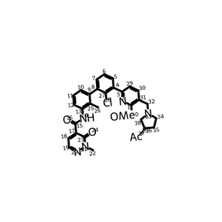 COc1nc(-c2cccc(-c3cccc(NC(=O)c4ccnn(C)c4=O)c3C)c2Cl)ccc1CN1CC[C@@H](C(C)=O)C1